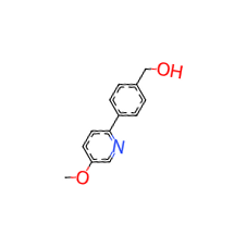 COc1ccc(-c2ccc(CO)cc2)nc1